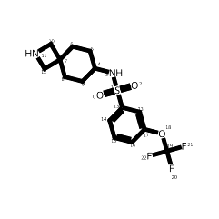 O=S(=O)(NC1CCC2(CC1)CNC2)c1cccc(OC(F)(F)F)c1